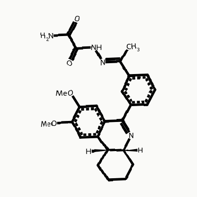 COc1cc2c(cc1OC)[C@H]1CCCC[C@H]1N=C2c1cccc(C(C)=NNC(=O)C(N)=O)c1